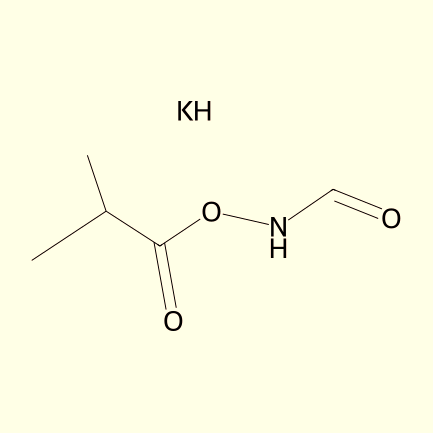 CC(C)C(=O)ONC=O.[KH]